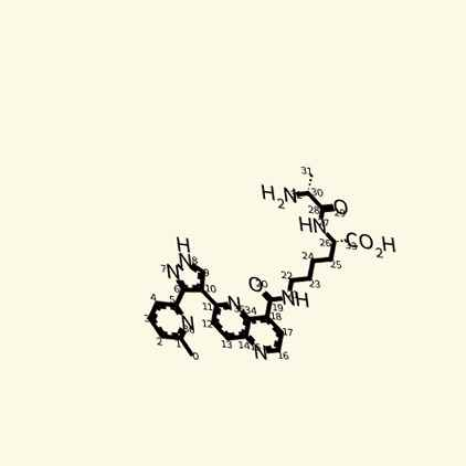 Cc1cccc(-c2n[nH]cc2-c2ccc3nccc(C(=O)NCCCC[C@H](NC(=O)[C@@H](C)N)C(=O)O)c3n2)n1